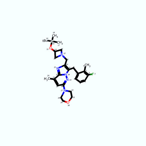 Cc1c(F)cccc1Cc1c(CN2CC(O[Si](C)(C)C(C)(C)C)C2)nc2c(C)cc(N3CCOCC3)nn12